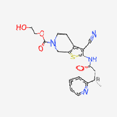 C[C@@H](CC(=O)Nc1sc2c(c1C#N)CCN(C(=O)OCCO)C2)c1ccccn1